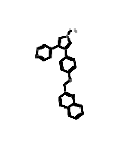 Cn1cc(-c2ccncc2)c(-c2ccc(OCc3ccc4ccccc4n3)cc2)c1